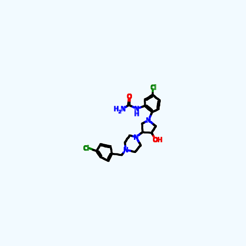 NC(=O)Nc1cc(Cl)ccc1N1CC(O)C(N2CCN(Cc3ccc(Cl)cc3)CC2)C1